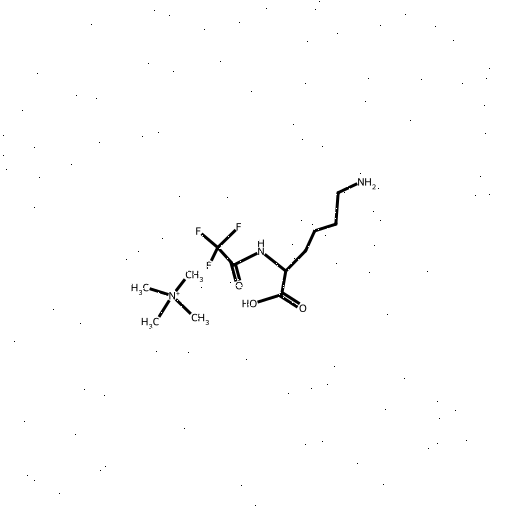 C[N+](C)(C)C.NCCCCC(NC(=O)C(F)(F)F)C(=O)O